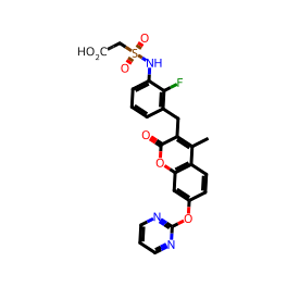 Cc1c(Cc2cccc(NS(=O)(=O)CC(=O)O)c2F)c(=O)oc2cc(Oc3ncccn3)ccc12